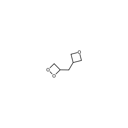 C1OCC1CC1COO1